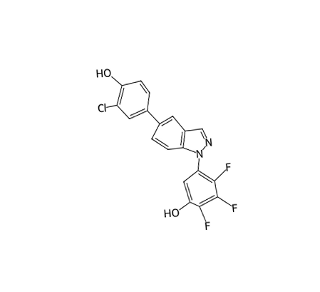 Oc1ccc(-c2ccc3c(cnn3-c3cc(O)c(F)c(F)c3F)c2)cc1Cl